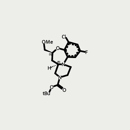 COC[C@@H]1C[C@@H]2CN(C(=O)OC(C)(C)C)CCN2c2cc(F)cc(Cl)c2O1